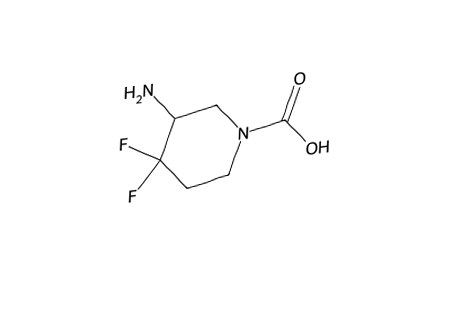 NC1CN(C(=O)O)CCC1(F)F